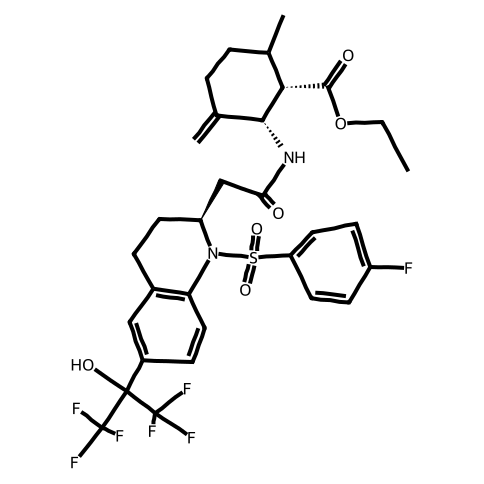 C=C1CCC(C)[C@H](C(=O)OCC)[C@@H]1NC(=O)C[C@@H]1CCc2cc(C(O)(C(F)(F)F)C(F)(F)F)ccc2N1S(=O)(=O)c1ccc(F)cc1